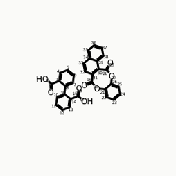 O=C(O)c1ccccc1-c1ccccc1C(=O)O.O=C1Oc2ccccc2OC(=O)c2c1ccc1ccccc21